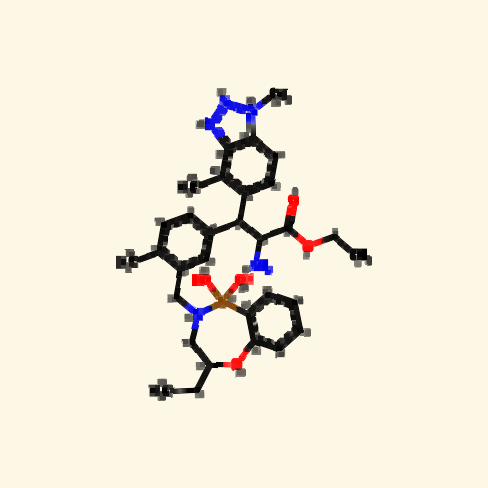 CCOC(=O)C(N)C(c1ccc(C)c(CN2CC(CC)Oc3ccccc3S2(O)O)c1)c1ccc2c(nnn2C)c1C